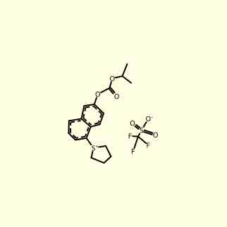 CC(C)OC(=O)Oc1ccc2c([S+]3CCCC3)cccc2c1.O=S(=O)([O-])C(F)(F)F